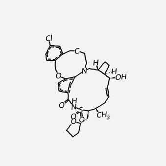 C[C@@H]1C/C=C/[C@H](O)[C@@H]2CC[C@H]2CN2CCCCc3cc(Cl)ccc3COc3ccc(cc32)C(=O)NS(=O)(=O)[C@@H]1C[C@@H]1CCCO1